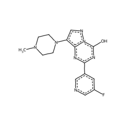 CN1CCN(c2cnn3c(O)nc(-c4cncc(F)c4)nc23)CC1